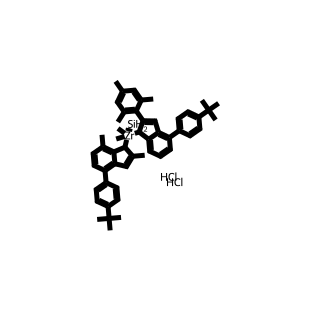 CC1=Cc2c(-c3ccc(C(C)(C)C)cc3)ccc(C)c2[CH]1[Zr]([CH3])([CH3])(=[SiH2])[CH]1C(c2c(C)cc(C)cc2C)=Cc2c(-c3ccc(C(C)(C)C)cc3)cccc21.Cl.Cl